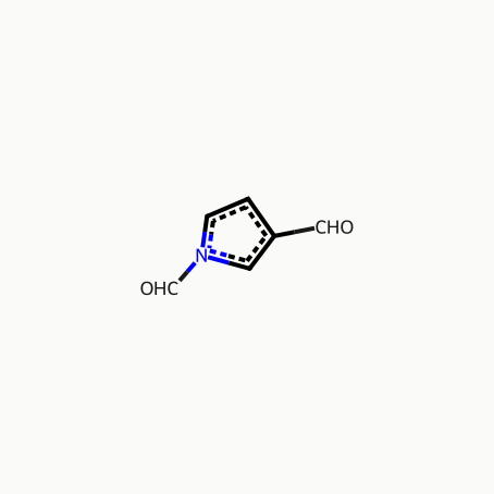 O=Cc1ccn(C=O)c1